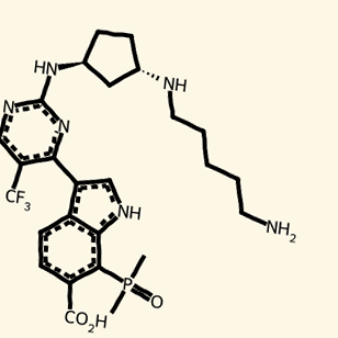 CP(C)(=O)c1c(C(=O)O)ccc2c(-c3nc(N[C@H]4CC[C@H](NCCCCCN)C4)ncc3C(F)(F)F)c[nH]c12